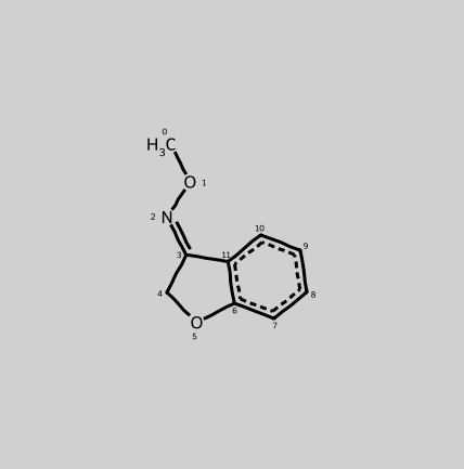 CO/N=C1/COc2ccccc21